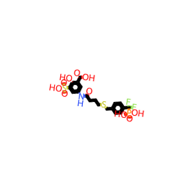 O=C(CCCSCc1ccc(C(F)(F)P(=O)(O)O)cc1)Nc1cc(C(=O)O)c(O)c(S(=O)(=O)O)c1